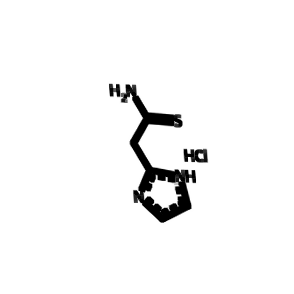 Cl.NC(=S)Cc1ncc[nH]1